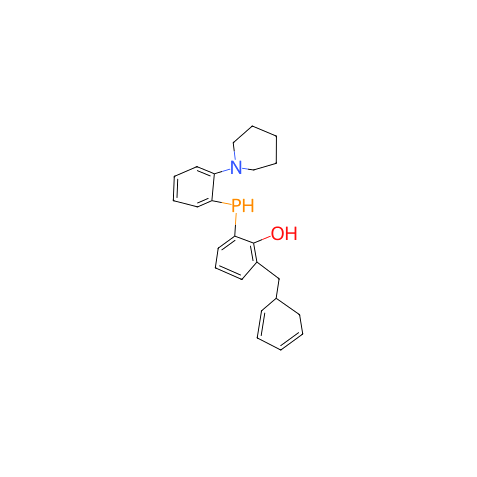 Oc1c(CC2C=CC=CC2)cccc1Pc1ccccc1N1CCCCC1